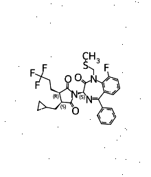 CSCN1C(=O)[C@H](N2C(=O)[C@@H](CC3CC3)[C@@H](CCC(F)(F)F)C2=O)N=C(c2ccccc2)c2cccc(F)c21